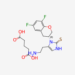 NCCc1c[nH]c(=S)n1[C@H]1COc2c(F)cc(F)cc2C1.O=C(O)CCCC(=O)O